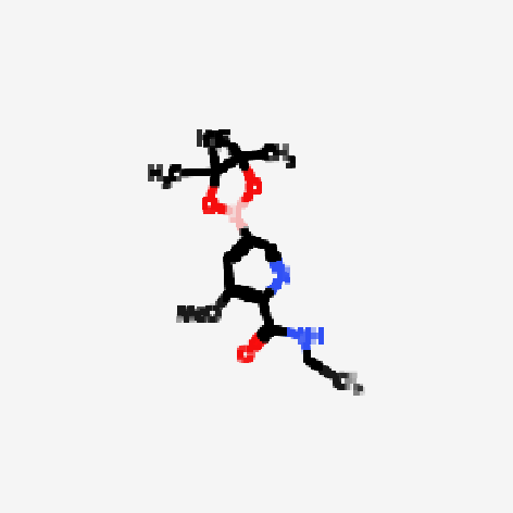 COc1cc(B2OC(C)(C)C(C)(C)O2)cnc1C(=O)NCC(F)(F)F